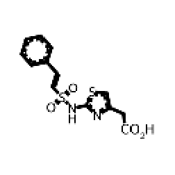 O=C(O)Cc1csc(NS(=O)(=O)C=Cc2ccccc2)n1